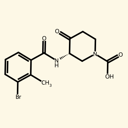 Cc1c(Br)cccc1C(=O)N[C@H]1CN(C(=O)O)CCC1=O